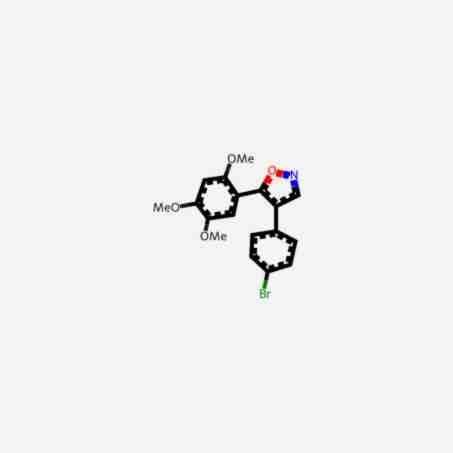 COc1cc(OC)c(-c2oncc2-c2ccc(Br)cc2)cc1OC